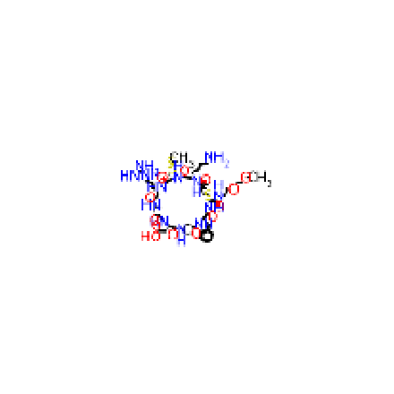 COCCOCCNC(=O)C1NC(=O)[C@H](Cc2ccccc2)NC(=O)CNC(=O)[C@H](CC(=O)O)NC(=O)CNC(=O)[C@H](CCCNC(=N)N)NC(=O)[C@H](CSSC)NC(=O)[C@H](CCCCN)NC(=O)CS1